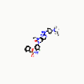 CC(C)N1C(=O)N(c2ccc(NS(=O)(=O)Cc3ccccc3)c(F)c2)Cc2cnc(NC3CCC(N(C)C)CC3)nc21